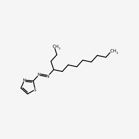 CCCCCC[CH]CC(CCC)N=Nc1nccs1